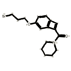 O=C(C1=Cc2ccc(OCCCBr)cc21)N1CCCCC1